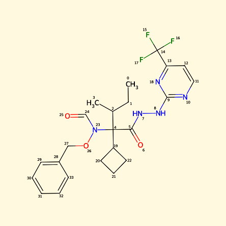 CCC(C)C(C(=O)NNc1nccc(C(F)(F)F)n1)(C1CCC1)N(C=O)OCc1ccccc1